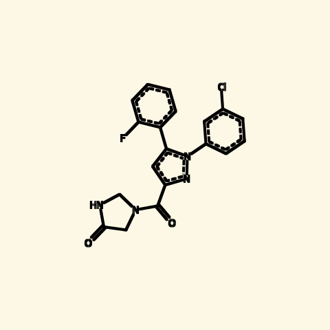 O=C1CN(C(=O)c2cc(-c3ccccc3F)n(-c3cccc(Cl)c3)n2)CN1